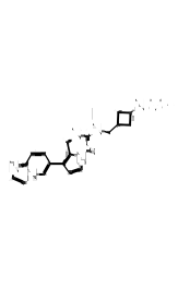 CNC1CC(CNc2ncc3c(-c4ccc5nccn5c4)ccn3n2)C1